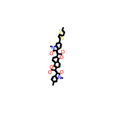 Cc1ccc2c(c1)N(C)C(=O)/C2=C1/C(=O)Oc2c1ccc1c3c(ccc21)/C(=C1\C(=O)N(C)c2cc(-c4cc5sc(C)cc5s4)ccc21)C(=O)O3